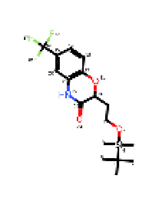 CC(C)(C)[Si](C)(C)OCCC1Oc2ccc(C(F)(F)F)cc2NC1=O